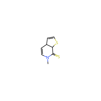 CN1C=CC2C=CSC2C1=S